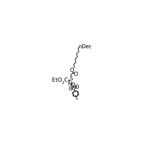 CCCCCCCCCCCCCCCCCCOC(=O)CS/C(=N\OS(=O)(=O)c1ccc(C)cc1)C(=O)OCC